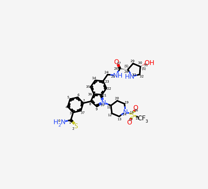 NC(=S)c1cccc(-c2cn(C3CCN(S(=O)(=O)C(F)(F)F)CC3)c3cc(CNC(=O)[C@@H]4C[C@H](O)CN4)ccc23)c1